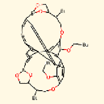 CCC(C)COc1cc2c3cc1OCC(CC)C1COB(O1)c1ccc4c(c1)-c1cc(c(OCC(C)CC)cc1-2)OCC(CC)C1COB(O1)c1ccc-4c-3c1